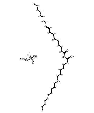 CCCCCCCCC=CCCCCCCCC(=O)OC(=O)CCCCCCCC=CCCCCCCCC.O=P(O)(O)O.[NaH]